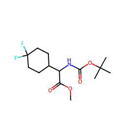 COC(=O)C(NC(=O)OC(C)(C)C)C1CCC(F)(F)CC1